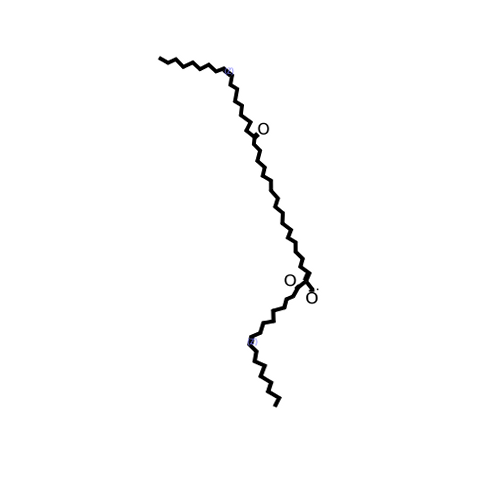 CCCCCCCC/C=C\CCCCCCCC(=O)CCCCCCCCCCCCCCCCCC=C([C]=O)C(=O)CCCCCCC/C=C\CCCCCCCC